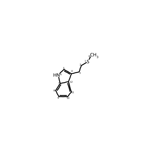 CSCCc1c[nH]c2ccccc12